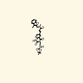 Cc1c(CN(C)C(=O)/C=C/c2cnc3[nH]c(=O)n(CCNC(=O)OC(C)(C)C)c(=O)c3c2)oc2ccccc12